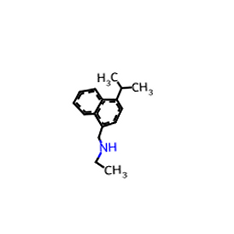 CCNCc1ccc(C(C)C)c2ccccc12